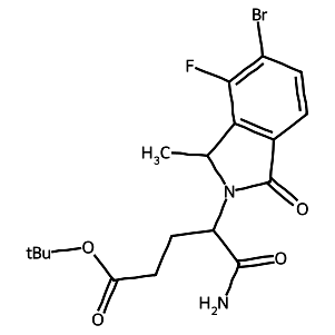 CC1c2c(ccc(Br)c2F)C(=O)N1C(CCC(=O)OC(C)(C)C)C(N)=O